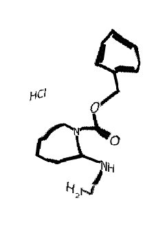 Cl.NNC1CCCCN1C(=O)OCc1ccccc1